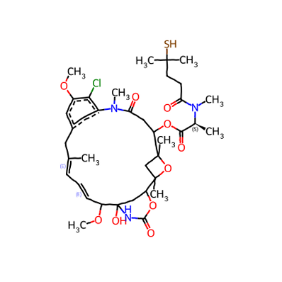 COc1cc2cc(c1Cl)N(C)C(=O)CC(OC(=O)[C@H](C)N(C)C(=O)CCC(C)(C)S)C1(C)CC(C)(O1)C1CC(O)(NC(=O)O1)C(OC)/C=C/C=C(\C)C2